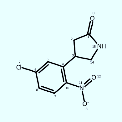 O=C1CC(c2cc(Cl)ccc2[N+](=O)[O-])CN1